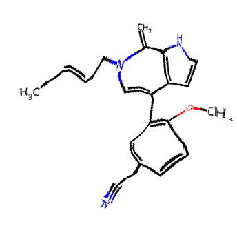 C=C1c2[nH]ccc2C(c2cc(C#N)ccc2OC)=CN1CC=CC